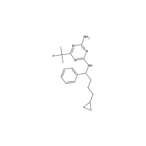 CC(C)(F)c1nc(N)nc(NC(CCCC2CC2)c2ccccc2)n1